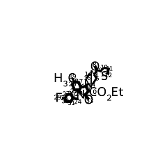 CCOC(=O)c1c(N2CCN(C(=O)C3CC=CS3)CC2)c2cc(C)ccc2n(Cc2ccc(F)cc2)c1=O